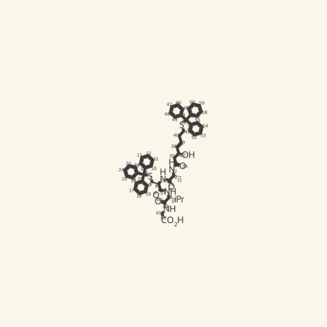 CC(C)[C@@H](NC(=O)[C@@H](CSC(c1ccccc1)(c1ccccc1)c1ccccc1)NC(=O)[C@@H](C)NC(=O)C[C@H](O)C=CCCSC(c1ccccc1)(c1ccccc1)c1ccccc1)C(=O)NCC(=O)O